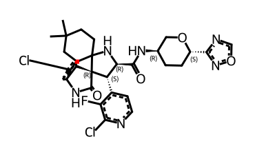 CC1(C)CCC2(CC1)N[C@@H](C(=O)N[C@@H]1CC[C@@H](c3ncon3)OC1)[C@H](c1ccnc(Cl)c1F)[C@]21C(=O)Nc2cc(Cl)ccc21